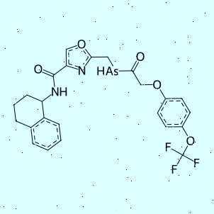 O=C(COc1ccc(OC(F)(F)F)cc1)[AsH]Cc1nc(C(=O)NC2CCCc3ccccc32)co1